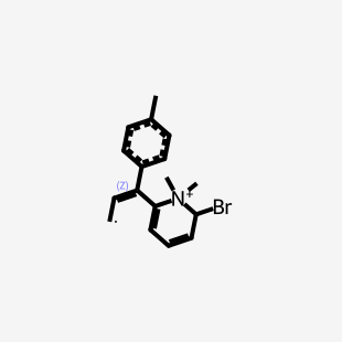 [CH2]/C=C(\C1=CC=CC(Br)[N+]1(C)C)c1ccc(C)cc1